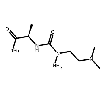 C[C@@H](NC(=O)N(N)CCN(C)C)C(=O)C(C)(C)C